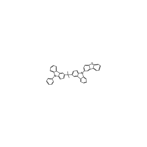 CC(C)(c1ccc2c(c1)c1ccccc1n2-c1ccccc1)c1ccc2c(c1)c1ccccc1n2-c1ccc2sc3ccccc3c2c1